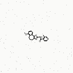 COc1cccc2c1CCCc1nc(NC(=O)c3ccncc3C)sc1-2